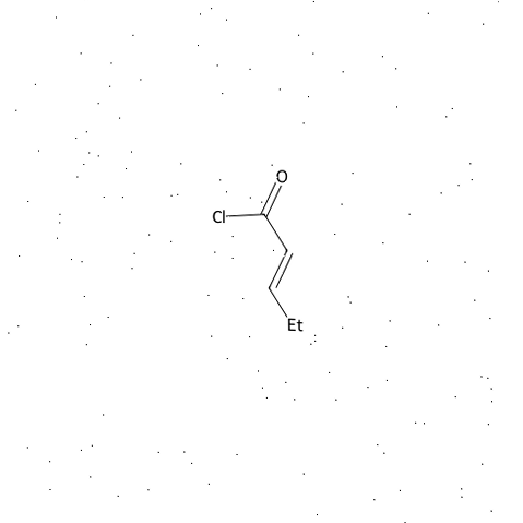 CCC=CC(=O)Cl